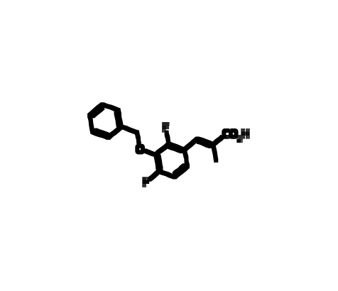 CC(=Cc1ccc(F)c(OCc2ccccc2)c1F)C(=O)O